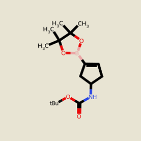 CC(C)(C)OC(=O)NC1CC=C(B2OC(C)(C)C(C)(C)O2)C1